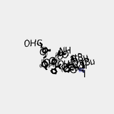 C=C1C[C@H](CCC=O)O[C@H]1CC[C@H]1C[C@@H](C)C(=C)[C@@H](C[C@@H]2O[C@H](C[C@H]3CNC(=O)O3)[C@H](C)[C@H]2C(C(=O)C[C@H]2CCC3O[C@@H]([C@H](/C=C/I)O[Si](C)(C)C(C)(C)C)[C@@H](O[Si](C)(C)C(C)(C)C)[C@@H](C)[C@H]3O2)c2ccccc2)O1